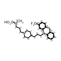 CN(CCCN1CCC(CCCN2c3ccccc3Sc3ccc(C(F)(F)F)cc32)CC1)C(=O)O